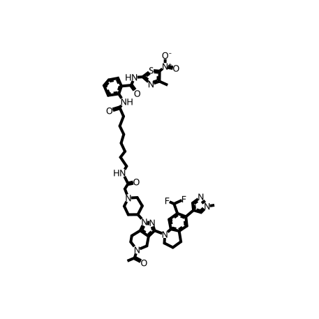 CC(=O)N1CCc2c(c(N3CCCc4cc(-c5cnn(C)c5)c(C(F)F)cc43)nn2C2CCN(CC(=O)NCCCCCCCC(=O)Nc3ccccc3C(=O)Nc3nc(C)c([N+](=O)[O-])s3)CC2)C1